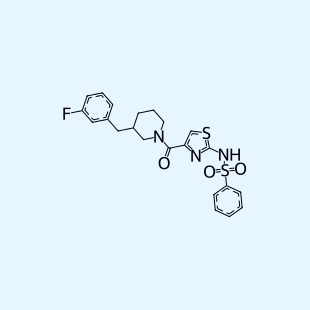 O=C(c1csc(NS(=O)(=O)c2ccccc2)n1)N1CCCC(Cc2cccc(F)c2)C1